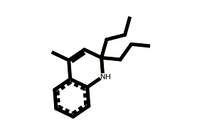 CCCC1(CCC)C=C(C)c2ccccc2N1